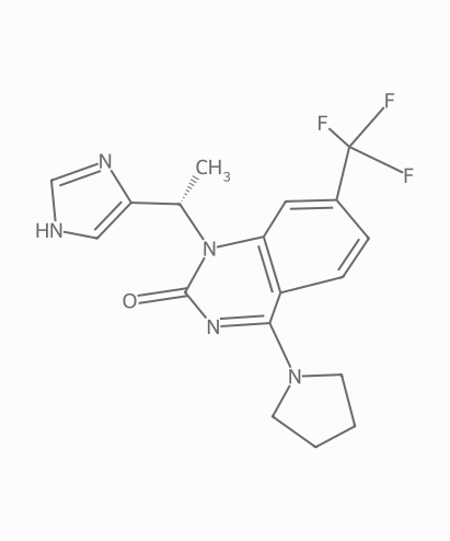 C[C@@H](c1c[nH]cn1)n1c(=O)nc(N2CCCC2)c2ccc(C(F)(F)F)cc21